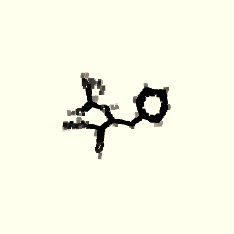 CNC(=O)C(Cc1ccccc1)OC(N)=O